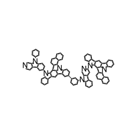 c1ccc(-n2c3ccc(-n4c5ccccc5c5cc6c7cc(-c8cccc(-n9c%10ccccc%10c%10cc(-n%11c%12ccccc%12c%12cc%13c%14ccccc%14n%14c%15c%16ccccc%16ccc%15c(c%12%11)c%13%14)ncc%109)c8)ccc7n7c8c9ccccc9ccc8c(c54)c67)cc3c3ccncc32)cc1